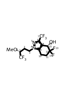 CO[C@H](CCn1nc(C(F)(F)F)c2c1CCC(F)(F)[C@H]2O)C(F)(F)F